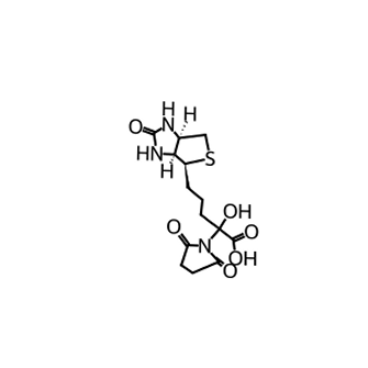 O=C1N[C@H]2[C@H](CS[C@H]2CCCC(O)(C(=O)O)N2C(=O)CCC2=O)N1